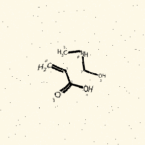 C=CC(=O)O.CNCO